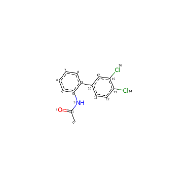 CC(=O)Nc1ccccc1-c1ccc(Cl)c(Cl)c1